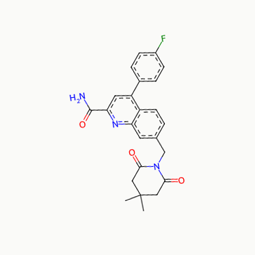 CC1(C)CC(=O)N(Cc2ccc3c(-c4ccc(F)cc4)cc(C(N)=O)nc3c2)C(=O)C1